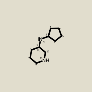 C1CCC(N[C@@H]2CCCNC2)C1